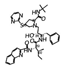 CC[C@H](C)[C@H](NC(=O)c1ccc2ccccc2n1)C(=O)N[C@@H](Cc1ccccc1)[C@H](O)CN1C[C@H](Sc2ncccn2)C[C@H]1C(=O)NC(C)(C)C